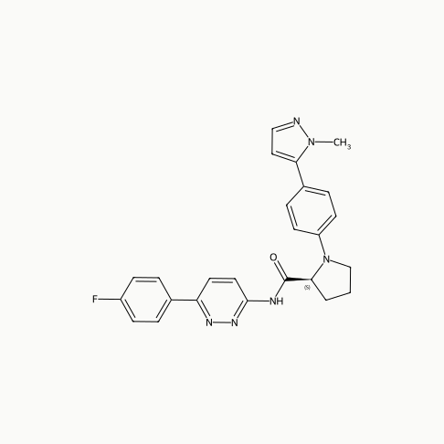 Cn1nccc1-c1ccc(N2CCC[C@H]2C(=O)Nc2ccc(-c3ccc(F)cc3)nn2)cc1